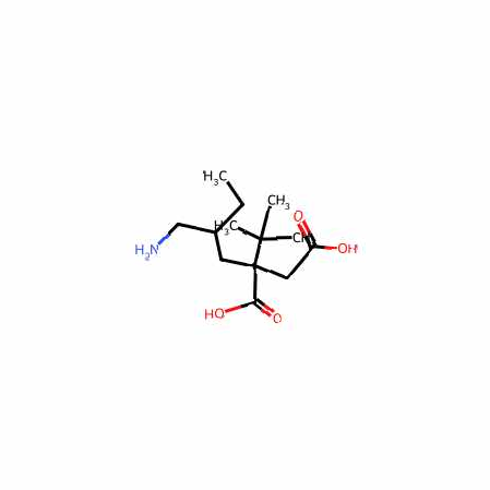 CCC(CN)CC(CC(=O)O)(C(=O)O)C(C)(C)C